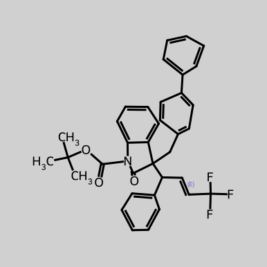 CC(C)(C)OC(=O)N1C(=O)C(Cc2ccc(-c3ccccc3)cc2)(C(/C=C/C(F)(F)F)c2ccccc2)c2ccccc21